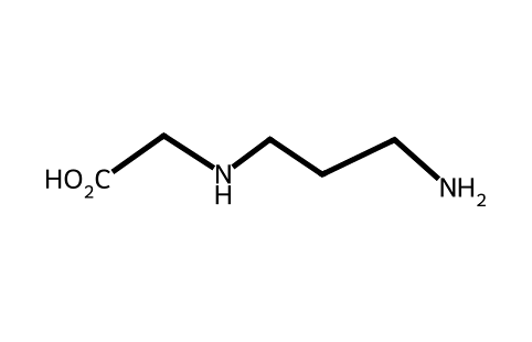 NCCCNCC(=O)O